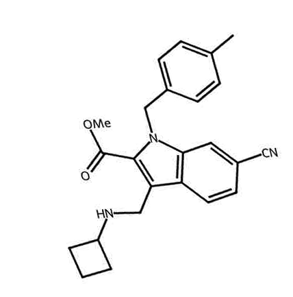 COC(=O)c1c(CNC2CCC2)c2ccc(C#N)cc2n1Cc1ccc(C)cc1